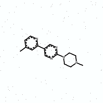 Cc1ccnc(-c2cnc(N3CCN(C)CC3)nc2)c1